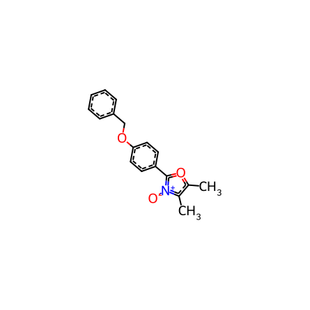 Cc1oc(-c2ccc(OCc3ccccc3)cc2)[n+]([O-])c1C